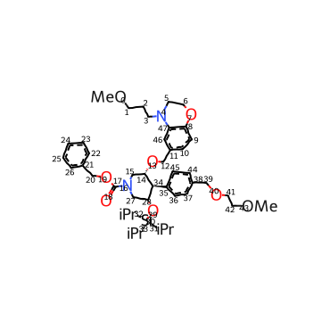 COCCCN1CCOc2ccc(CO[C@H]3CN(C(=O)OCc4ccccc4)C[C@@H](O[Si](C(C)C)(C(C)C)C(C)C)[C@@H]3c3ccc(COCCOC)cc3)cc21